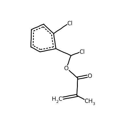 C=C(C)C(=O)OC(Cl)c1ccccc1Cl